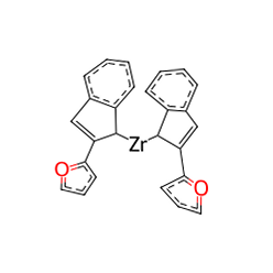 C1=C(c2ccco2)[CH]([Zr][CH]2C(c3ccco3)=Cc3ccccc32)c2ccccc21